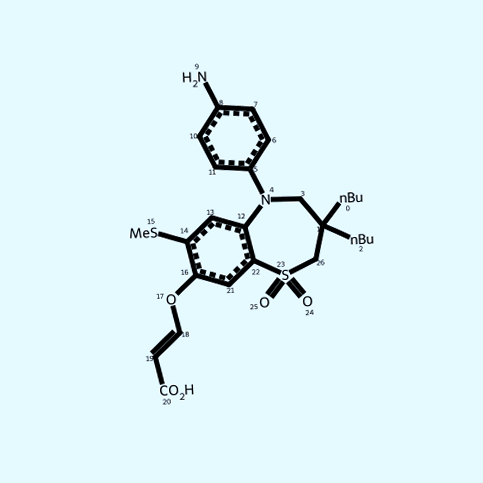 CCCCC1(CCCC)CN(c2ccc(N)cc2)c2cc(SC)c(O/C=C/C(=O)O)cc2S(=O)(=O)C1